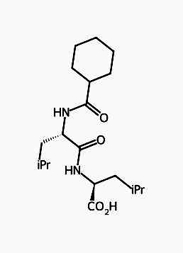 CC(C)C[C@H](NC(=O)[C@H](CC(C)C)NC(=O)C1CCCCC1)C(=O)O